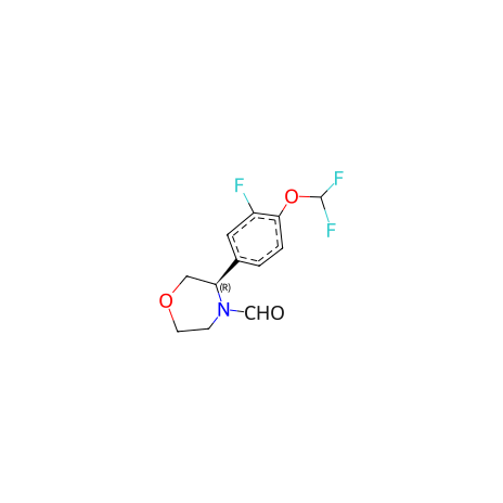 O=CN1CCOC[C@H]1c1ccc(OC(F)F)c(F)c1